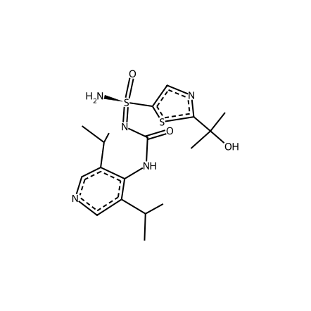 CC(C)c1cncc(C(C)C)c1NC(=O)N=[S@](N)(=O)c1cnc(C(C)(C)O)s1